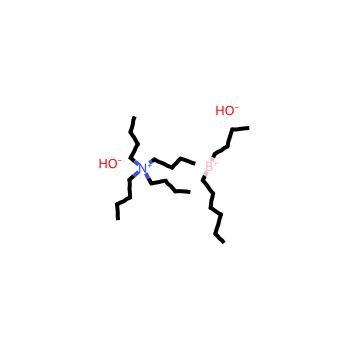 CCCC[B+]CCCCCC.CCCC[N+](CCCC)(CCCC)CCCC.[OH-].[OH-]